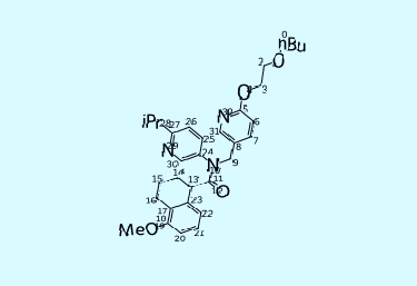 CCCCOCCOc1ccc(CN(C(=O)C2CCCc3c(OC)cccc32)c2ccc(C(C)C)nc2)cn1